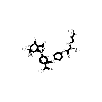 CCc1nn(-c2ccc(C(N)=O)c(N[C@H]3CC[C@H](OC(=O)[C@H](C)NCCCN)CC3)c2)c2c1C(=O)CC(C)(C)C2